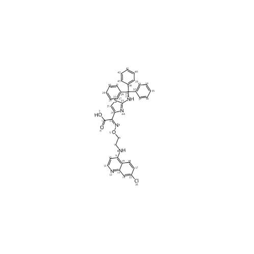 O=C(O)C(=NOCCNc1ccnc2cc(Cl)ccc12)c1csc(NC(c2ccccc2)(c2ccccc2)c2ccccc2)n1